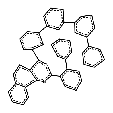 c1ccc(-c2cccc(-c3cccc(-c4cccc(-c5nc(-c6ccccc6-c6ccccc6)nc6c5ccc5ccccc56)c4)c3)c2)cc1